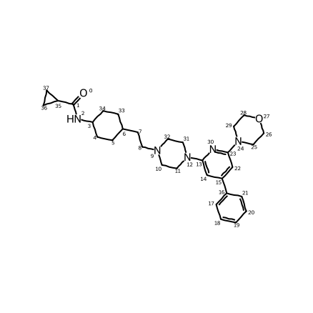 O=C(NC1CCC(CCN2CCN(c3cc(-c4ccccc4)cc(N4CCOCC4)n3)CC2)CC1)C1CC1